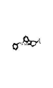 CN(C)C1CCc2[nH]c3c(OCc4ccccc4)cccc3c2C1